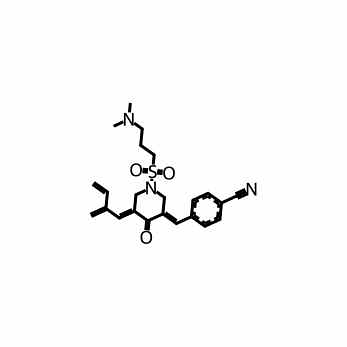 C=CC(=C)/C=C1\CN(S(=O)(=O)CCCN(C)C)C/C(=C\c2ccc(C#N)cc2)C1=O